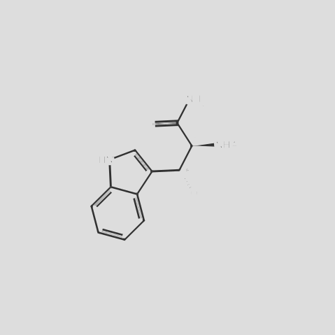 CC(=O)N[C@H](C(N)=O)[C@H](O)c1c[nH]c2ccccc12